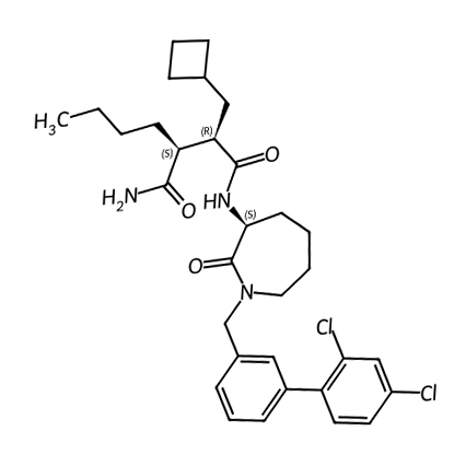 CCCC[C@H](C(N)=O)[C@@H](CC1CCC1)C(=O)N[C@H]1CCCCN(Cc2cccc(-c3ccc(Cl)cc3Cl)c2)C1=O